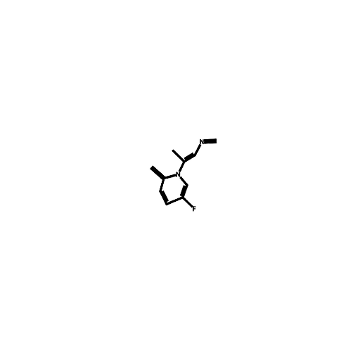 C=N/C=C(\C)N1C=C(F)C=CC1=C